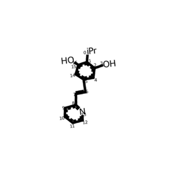 CC(C)c1c(O)cc(C=Cc2ccccn2)cc1O